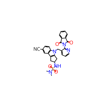 CN(C)S(=O)(=O)NC1Cc2c(n(Cc3cccnc3N3C(=O)c4ccccc4C3=O)c3ccc(C#N)cc23)C1